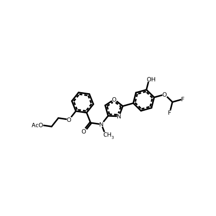 CC(=O)OCCOc1ccccc1C(=O)N(C)c1coc(-c2ccc(OC(F)F)c(O)c2)n1